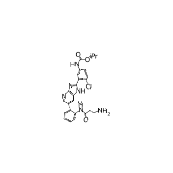 CC(C)OC(=O)Nc1ccc(Cl)c(-c2nc3ncc(-c4ccccc4NC(=O)CCN)cc3[nH]2)c1